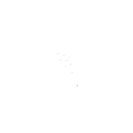 CCOC(=O)c1cn(C2CC2)c2c(Cl)c(CC(=O)OCCC#N)c(F)cc2c1=O